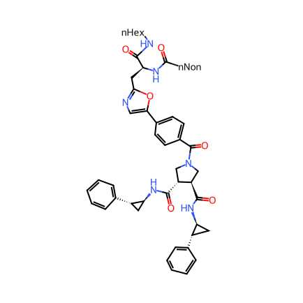 CCCCCCCCCC(=O)N[C@@H](Cc1ncc(-c2ccc(C(=O)N3C[C@@H](C(=O)N[C@H]4C[C@@H]4c4ccccc4)[C@H](C(=O)N[C@H]4C[C@@H]4c4ccccc4)C3)cc2)o1)C(=O)NCCCCCC